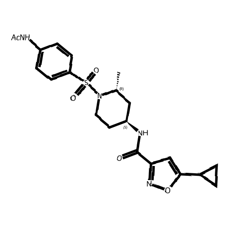 CC(=O)Nc1ccc(S(=O)(=O)N2CC[C@H](NC(=O)c3cc(C4CC4)on3)C[C@H]2C)cc1